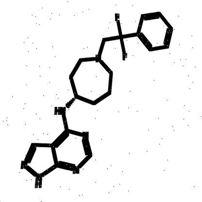 FC(F)(CN1CCC[C@H](Nc2ncnc3[nH]ncc23)CC1)c1ccccc1